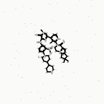 Cc1c(-c2cn(C)c(=O)c(Nc3ccc(N4CCC(C5CCOCC5)C[C@@H]4C)c([N+](=O)[O-])c3)n2)ccnc1N1CCn2c(cc3c2CC(C)(C)C3)C1=O